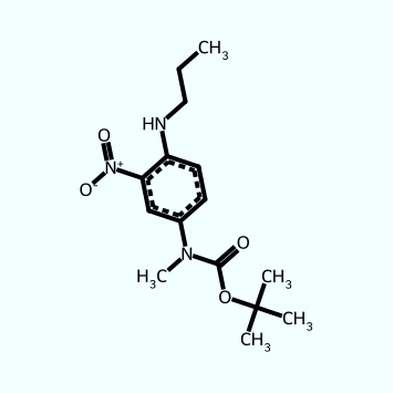 CCCNc1ccc(N(C)C(=O)OC(C)(C)C)cc1[N+](=O)[O-]